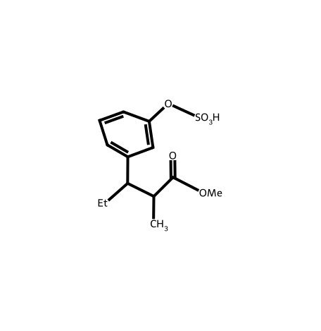 CCC(c1cccc(OS(=O)(=O)O)c1)C(C)C(=O)OC